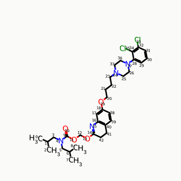 CC(C)CN(CC(C)C)C(=O)OCOC1=Nc2cc(OCCCCN3CCN(c4cccc(Cl)c4Cl)CC3)ccc2CC1